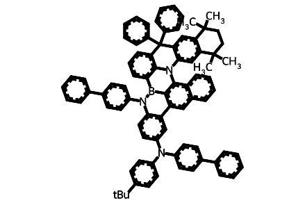 CC(C)(C)c1ccc(N(c2ccc(-c3ccccc3)cc2)c2ccc3c(c2)-c2cc4ccccc4c4c2B(c2cccc5c2N4c2cc4c(cc2C5(c2ccccc2)c2ccccc2)C(C)(C)CCC4(C)C)N3c2ccc(-c3ccccc3)cc2)cc1